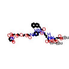 CC(C)(C)OC(=O)CC[C@H](NC(=O)N[C@@H](CCCCNC(=O)[C@H](Cc1ccc2ccccc2c1)NC(=O)C1CCC(CNC(=O)COCCOCCOCC(=O)ON2C(=O)CCC2=O)CC1)C(=O)OC(C)(C)C)C(=O)OC(C)(C)C